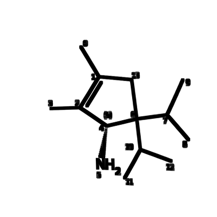 CC1=C(C)[C@@H](N)C(C(C)C)(C(C)C)C1